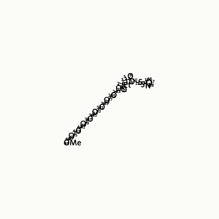 CCC(C)(CC(C)(C)C(=O)OCCSSc1ccccn1)C(=O)OCCOCCOCCOCCOCCOCCOCCOCCOCCOC